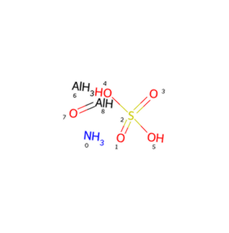 N.O=S(=O)(O)O.[AlH3].[O]=[AlH]